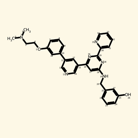 CN(C)CCOc1cccc(-c2cncc(-c3cc(NCc4cccc(O)c4)nc(-c4ccccn4)n3)c2)c1